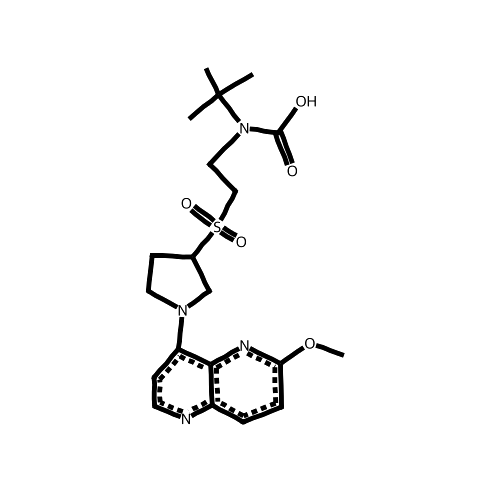 COc1ccc2nccc(N3CCC(S(=O)(=O)CCN(C(=O)O)C(C)(C)C)C3)c2n1